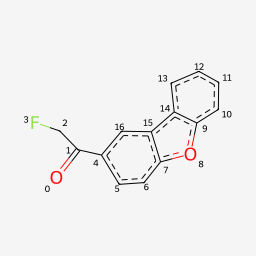 O=C(CF)c1ccc2oc3ccccc3c2c1